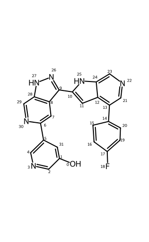 Oc1cncc(-c2cc3c(-c4cc5c(-c6ccc(F)cc6)cncc5[nH]4)n[nH]c3cn2)c1